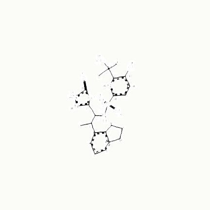 CC(c1cccc2c1CCC2)C(NS(=O)(=O)c1ccc(Cl)c(C(C)(C)O)n1)c1n[nH]c(=O)o1